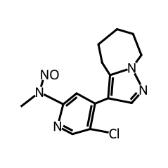 CN(N=O)c1cc(-c2cnn3c2CCCCC3)c(Cl)cn1